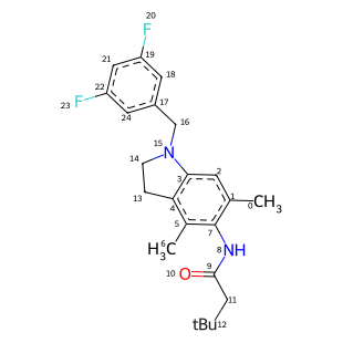 Cc1cc2c(c(C)c1NC(=O)CC(C)(C)C)CCN2Cc1cc(F)cc(F)c1